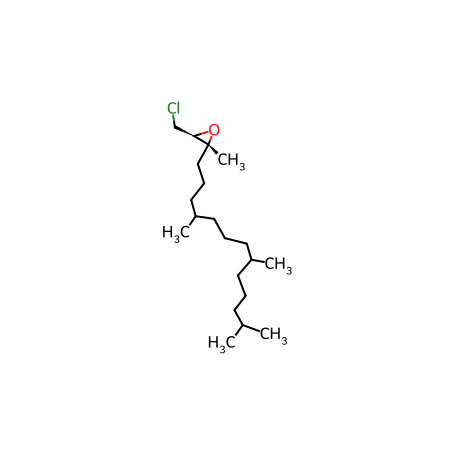 CC(C)CCCC(C)CCCC(C)CCC[C@@]1(C)O[C@@H]1CCl